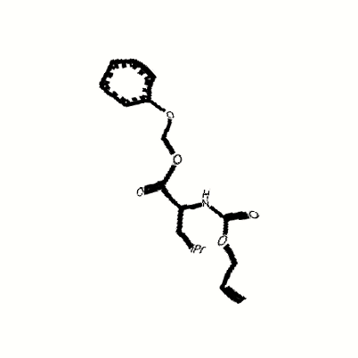 C=CCOC(=O)NC(CC(C)C)C(=O)OCOc1ccccc1